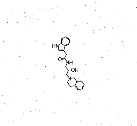 O=C(Cc1c[nH]c2ccccc12)NC[C@H](O)CN1CCc2ccccc2C1